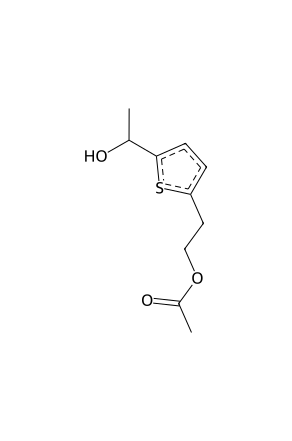 CC(=O)OCCc1ccc(C(C)O)s1